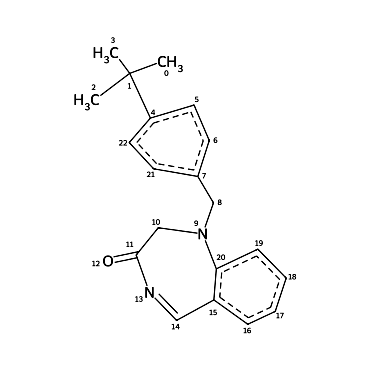 CC(C)(C)c1ccc(CN2CC(=O)N=Cc3ccccc32)cc1